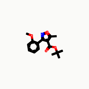 COc1ccccc1-c1noc(C)c1C(=O)OC(C)(C)C